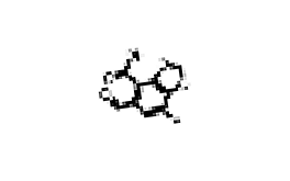 O=Cc1cc(F)c2c(c1C(=O)O)OCO2